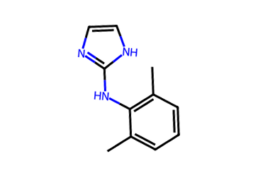 Cc1cccc(C)c1Nc1ncc[nH]1